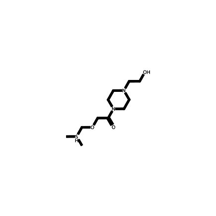 C[SH](C)COCC(=O)N1CCN(CCO)CC1